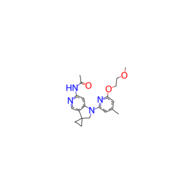 COCCOc1cc(C)cc(N2CC3(CC3)c3cnc(NC(C)=O)cc32)n1